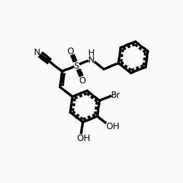 N#CC(=Cc1cc(O)c(O)c(Br)c1)S(=O)(=O)NCc1ccccc1